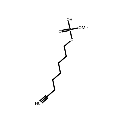 C#CCCCCCCOP(=O)(O)OC